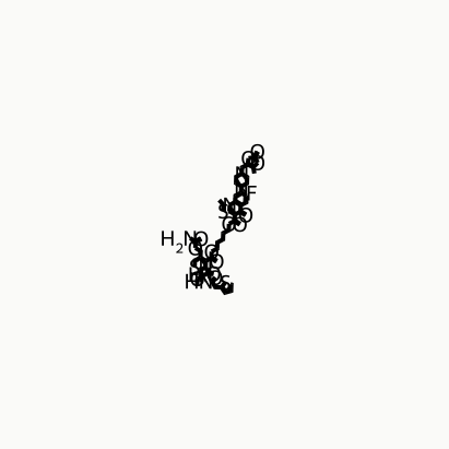 CO[C@@]1(NC(=O)Cc2cccs2)C(=O)N2C(C(=O)OCCCCCOC(=O)c3c4n(c5cc(N6CCN(Cc7oc(=O)oc7C)CC6)c(F)cc5c3=O)C(C)S4)=C(COC(N)=O)CS[C@@H]21